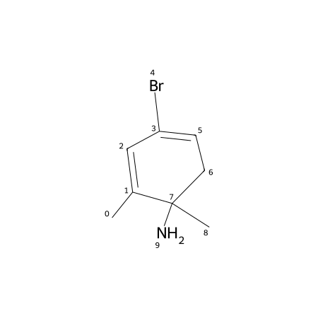 CC1=CC(Br)=CCC1(C)N